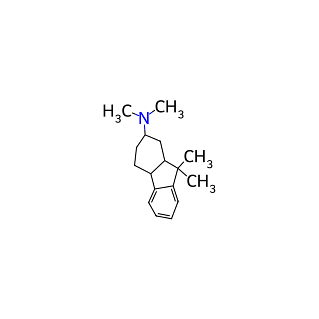 CN(C)C1CCC2c3ccccc3C(C)(C)C2C1